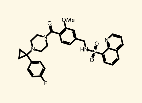 COc1cc(CNS(=O)(=O)c2cccc3cccnc23)ccc1C(=O)N1CCN(C2(c3ccc(F)cc3)CC2)CC1